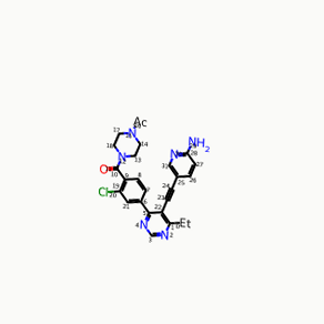 CCc1ncnc(-c2ccc(C(=O)N3CCN(C(C)=O)CC3)c(Cl)c2)c1C#Cc1ccc(N)nc1